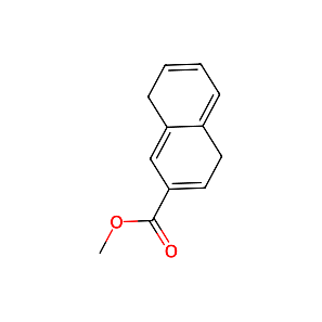 COC(=O)C1=CCC2=CC=CCC2=C1